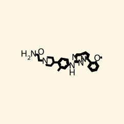 COc1ccccc1-c1ccc2cnc(Nc3ccc(C4CCN(CC(N)=O)CC4)c(C)c3)nn12